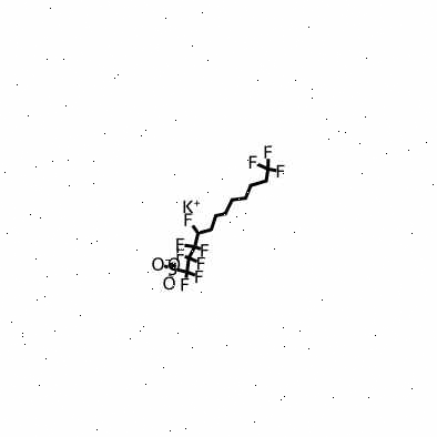 O=S(=O)([O-])C(F)(F)C(F)(F)C(F)(F)C(F)CCCCCCCC(F)(F)F.[K+]